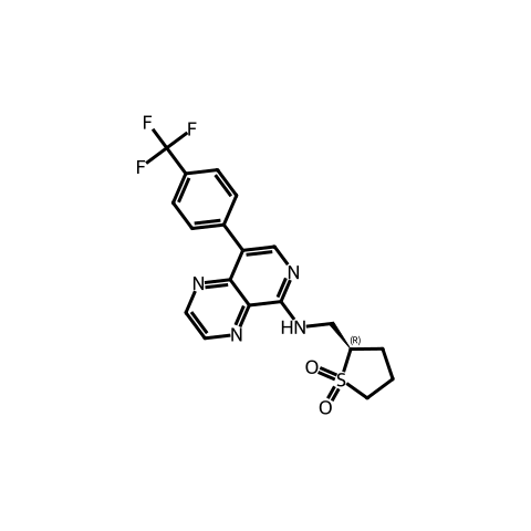 O=S1(=O)CCC[C@@H]1CNc1ncc(-c2ccc(C(F)(F)F)cc2)c2nccnc12